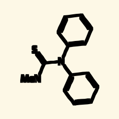 CNC(=S)N(c1ccccc1)c1ccccc1